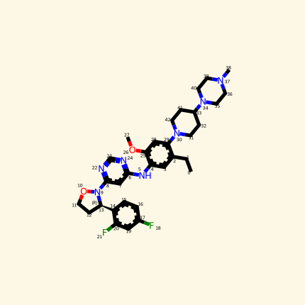 CCc1cc(Nc2cc(N3OCC[C@@H]3c3ccc(F)cc3F)ncn2)c(OC)cc1N1CCC(N2CCN(C)CC2)CC1